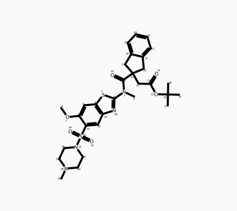 COc1cc2sc(N(C)C(=O)C3(CC(=O)OC(C)(C)C)Cc4ccccc4C3)nc2cc1S(=O)(=O)N1CCN(C)CC1